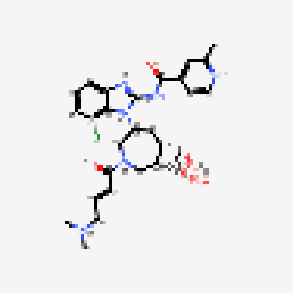 CS(=O)(=O)O.Cc1cc(C(=O)Nc2nc3cccc(Cl)c3n2[C@@H]2CCCCN(C(=O)C=CCN(C)C)C2)ccn1.O.O.O